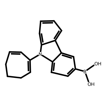 OB(O)c1ccc2c(c1)c1ccccc1n2C1=CCCCC=C1